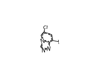 Clc1cc(I)c2nncn2c1